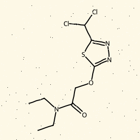 CCN(CC)C(=O)COc1nnc(C(Cl)Cl)s1